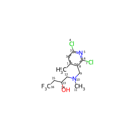 Cc1cc(Cl)nc(Cl)c1CN(C)CC(O)CC(F)(F)F